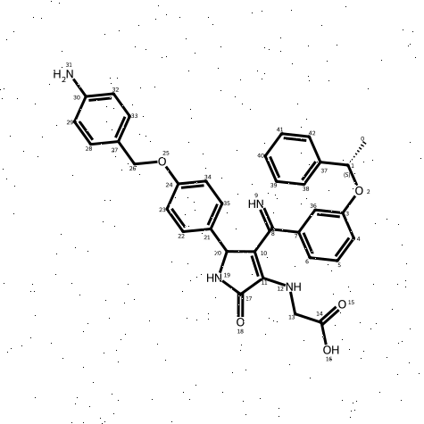 C[C@H](Oc1cccc(C(=N)C2=C(NCC(=O)O)C(=O)NC2c2ccc(OCc3ccc(N)cc3)cc2)c1)c1ccccc1